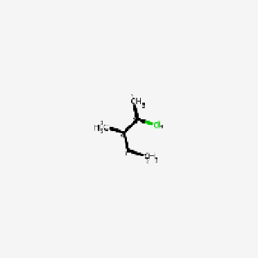 CCC(C)C(C)Cl